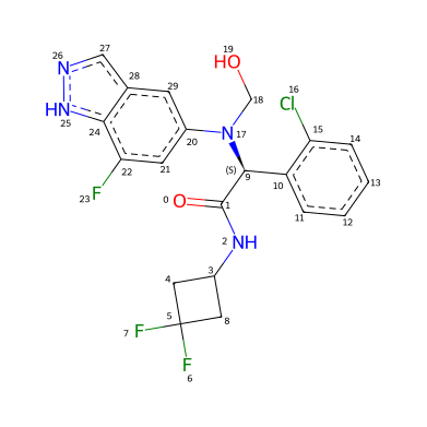 O=C(NC1CC(F)(F)C1)[C@H](c1ccccc1Cl)N(CO)c1cc(F)c2[nH]ncc2c1